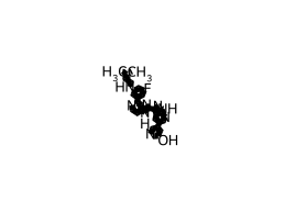 CN(C)CCNc1cc(F)cc(-c2nccc3[nH]c(-c4n[nH]c5ncc(-c6cncc(O)c6)cc45)nc23)c1